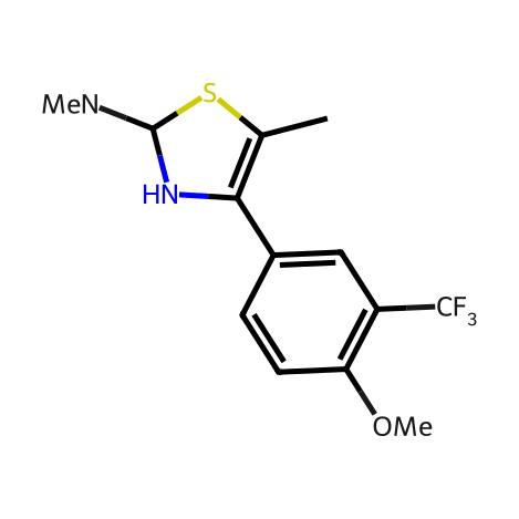 CNC1NC(c2ccc(OC)c(C(F)(F)F)c2)=C(C)S1